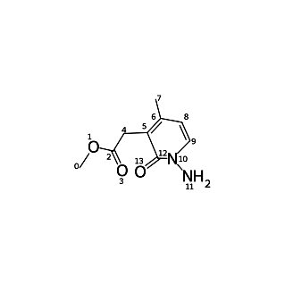 COC(=O)Cc1c(C)ccn(N)c1=O